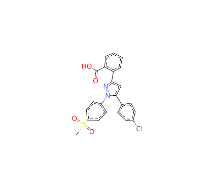 CS(=O)(=O)c1ccc(-n2nc(-c3ccccc3C(=O)O)cc2-c2ccc(Cl)cc2)cc1